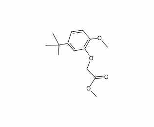 COC(=O)COc1cc(C(C)(C)C)ccc1OC